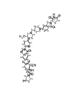 C[C@H]1CN(CC2CCN(c3ccc4c(c3)CN([C@H]3CCC(=O)NC3=O)C4=O)CC2)CCN1c1ccc(-n2cnc3ccc(Oc4c(F)ccc(NS(=O)(=O)N5CC[C@@H](F)C5)c4C#N)cc3c2=O)nc1